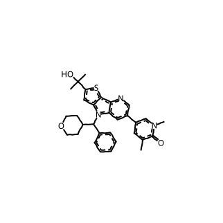 Cc1cc(-c2cnc3c4sc(C(C)(C)O)cc4n(C(c4ccccc4)C4CCOCC4)c3c2)cn(C)c1=O